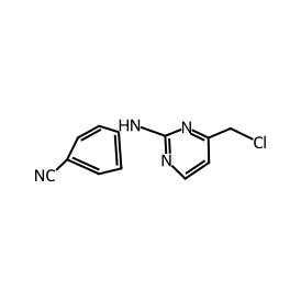 N#Cc1ccc(Nc2nccc(CCl)n2)cc1